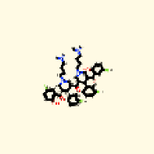 Cc1c(F)cccc1C1C(C(=O)c2cc(F)ccc2O)CN(CCCCN(C)C)CC1C(=O)[C@@H]1CN(CCCCN(C)C)C[C@H](C(=O)c2cc(F)ccc2O)[C@@H]1c1cccc(F)c1C